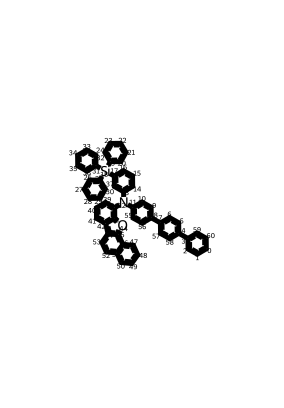 c1ccc(-c2ccc(-c3ccc(N(c4cccc([Si](c5ccccc5)(c5ccccc5)c5ccccc5)c4)c4cccc5c4oc4c6ccccc6ccc54)cc3)cc2)cc1